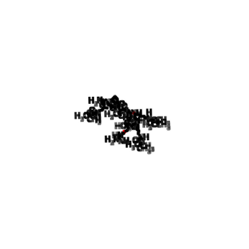 CC(C)[C@H](NC(=O)[C@@H]1CCCN1C(=O)[C@H](CCCCNC(=O)OC(C)(C)C)NC(=O)CN)C(=O)NCC(=O)N[C@@H](CCCCNC(=O)OC(C)(C)C)C(=O)N[C@@H](CCCCNC(=O)OC(C)(C)C)C(=O)N[C@@H](CCCNC(=N)N)C(=O)O